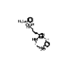 COc1ccccc1S(=O)(=O)NCCC#Cc1cnc2nc1NCCCNS(=O)(=O)c1cccc(c1)N2